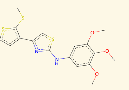 COc1cc(Nc2nc(-c3ccsc3SC)cs2)cc(OC)c1OC